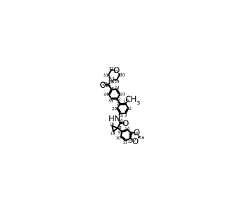 Cc1ccc(NC(=O)C2(c3ccc4c(c3)OCO4)CC2)cc1-c1ccc(C(=O)N2CCOCC2)cc1